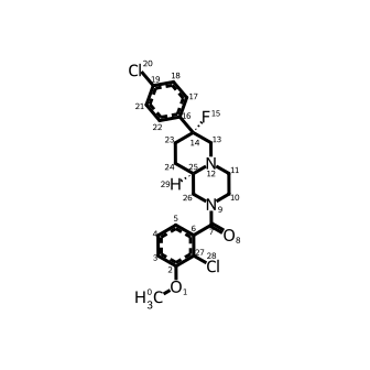 COc1cccc(C(=O)N2CCN3C[C@](F)(c4ccc(Cl)cc4)CC[C@@H]3C2)c1Cl